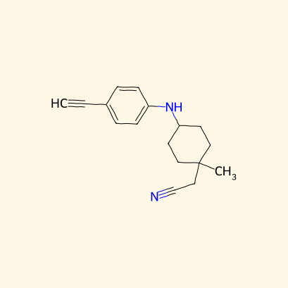 C#Cc1ccc(NC2CCC(C)(CC#N)CC2)cc1